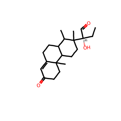 CC[C@](O)(C=O)C1(C)CCC2C(CCC3=CC(=O)CCC32C)C1C